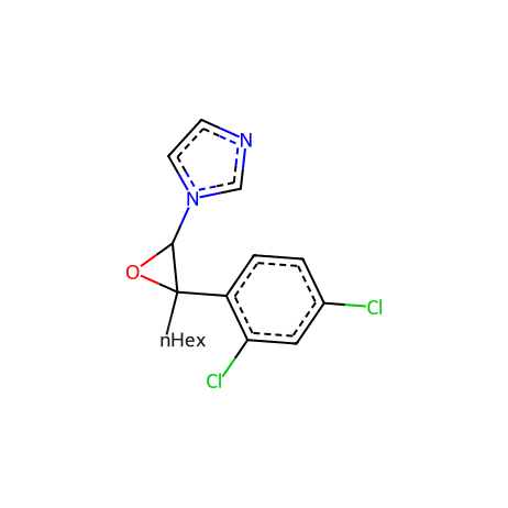 CCCCCCC1(c2ccc(Cl)cc2Cl)OC1n1ccnc1